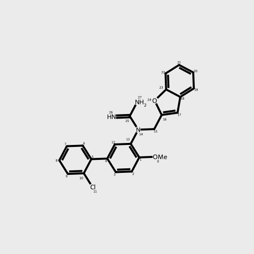 COc1ccc(-c2ccccc2Cl)cc1N(Cc1cc2ccccc2o1)C(=N)N